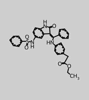 CCOC(=O)Cc1ccc(NC(=C2C(=O)Nc3ccc(NS(=O)(=O)c4ccccc4)cc32)c2ccccc2)cc1